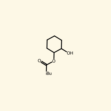 CCC(C)C(=O)OC1CCCCC1O